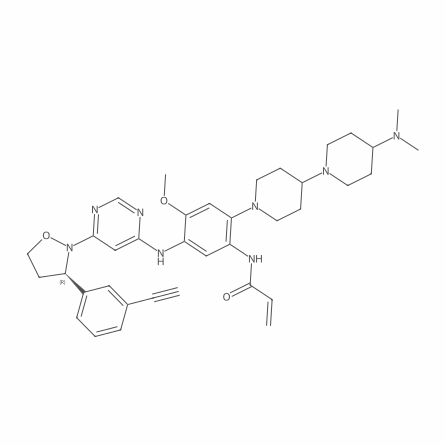 C#Cc1cccc([C@H]2CCON2c2cc(Nc3cc(NC(=O)C=C)c(N4CCC(N5CCC(N(C)C)CC5)CC4)cc3OC)ncn2)c1